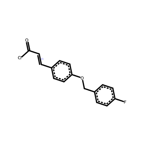 O=C(Cl)/C=C/c1ccc(OCc2ccc(F)cc2)cc1